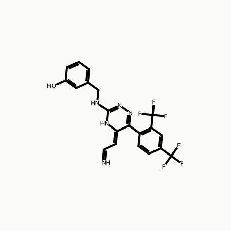 N=C/C=C1\NC(NCc2cccc(O)c2)=NN=C1c1ccc(C(F)(F)F)cc1C(F)(F)F